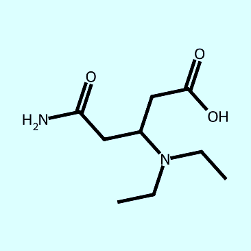 CCN(CC)C(CC(N)=O)CC(=O)O